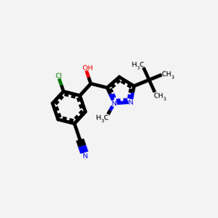 Cn1nc(C(C)(C)C)cc1C(O)c1cc(C#N)ccc1Cl